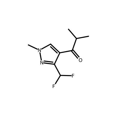 CC(C)C(=O)c1cn(C)nc1C(F)F